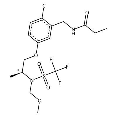 CCC(=O)NCc1cc(OC[C@H](C)N(COC)S(=O)(=O)C(F)(F)F)ccc1Cl